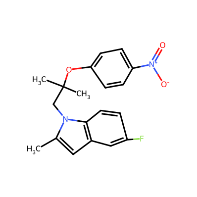 Cc1cc2cc(F)ccc2n1CC(C)(C)Oc1ccc([N+](=O)[O-])cc1